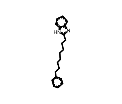 c1ccc(CCCCCCCCc2nc3ccccc3[nH]2)cc1